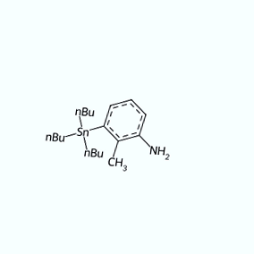 CCC[CH2][Sn]([CH2]CCC)([CH2]CCC)[c]1cccc(N)c1C